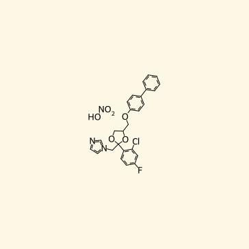 Fc1ccc(C2(Cn3ccnc3)OCC(COc3ccc(-c4ccccc4)cc3)O2)c(Cl)c1.O=[N+]([O-])O